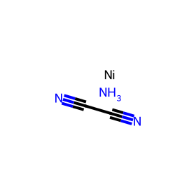 N.N#CC#N.[Ni]